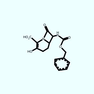 O=C(NC1C(=O)N2C(C(=O)O)=C(O)CCC12)OCc1ccccc1